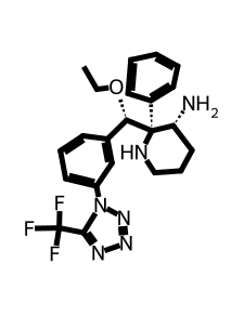 CCO[C@@H](c1cccc(-n2nnnc2C(F)(F)F)c1)[C@]1(c2ccccc2)NCCC[C@H]1N